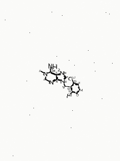 CN1CN=c2c(ncn2Cc2c(F)cccc2Cl)=C1N